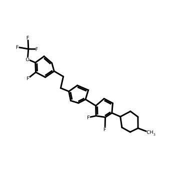 CC1CCC(c2ccc(-c3ccc(CCc4ccc(OC(F)(F)F)c(F)c4)cc3)c(F)c2F)CC1